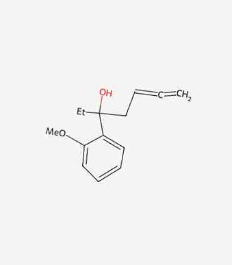 C=C=CCC(O)(CC)c1ccccc1OC